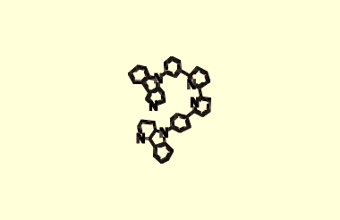 C1=CC2C(N=C1)c1ccccc1N2c1ccc(-c2cccc(-c3cccc(-c4cccc(-n5c6ccccc6c6cnccc65)c4)n3)n2)cc1